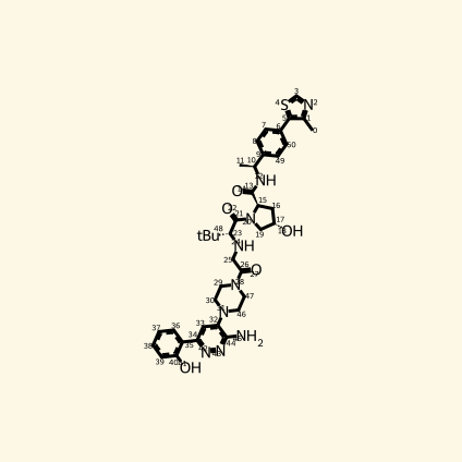 Cc1ncsc1-c1ccc([C@H](C)NC(=O)[C@H]2C[C@H](O)CN2C(=O)[C@H](NCC(=O)N2CCN(c3cc(-c4ccccc4O)nnc3N)CC2)C(C)(C)C)cc1